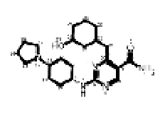 NC(=O)c1cnc(N[C@H]2CC[C@H](N3CCCC3)CC2)nc1CC1CCCC(O)C1